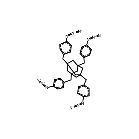 [N-]=[N+]=Nc1ccc(CC23CC4(Cc5ccc(N=[N+]=[N-])cc5)CC(Cc5ccc(N=[N+]=[N-])cc5)(C2)CC(Cc2ccc(N=[N+]=[N-])cc2)(C3)C4)cc1